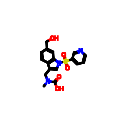 CN(Cc1cn(S(=O)(=O)c2cccnc2)c2cc(CO)ccc12)C(=O)O